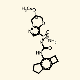 CO[C@@H]1COc2c([S@@](N)(=O)=NC(=O)Nc3c4c(cc5c3CC5)CCC4)cnn2C1